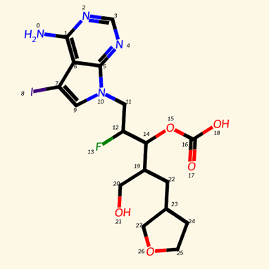 Nc1ncnc2c1c(I)cn2CC(F)C(OC(=O)O)C(CO)CC1CCOC1